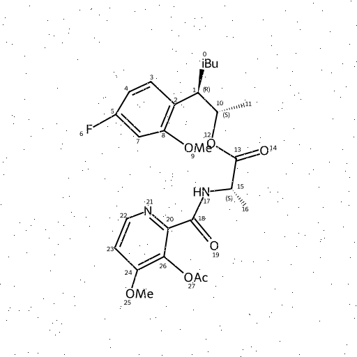 CCC(C)[C@H](c1ccc(F)cc1OC)[C@H](C)OC(=O)[C@H](C)NC(=O)c1nccc(OC)c1OC(C)=O